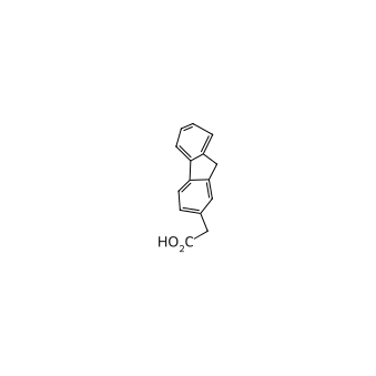 O=C(O)Cc1ccc2c(c1)Cc1ccccc1-2